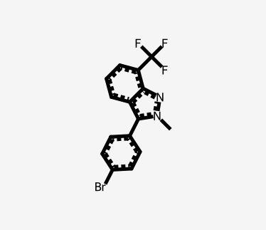 Cn1nc2c(C(F)(F)F)cccc2c1-c1ccc(Br)cc1